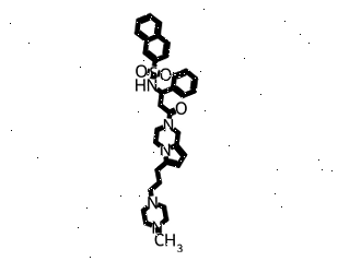 CN1CCN(CCCc2ccc3n2CCN(C(=O)CC(NS(=O)(=O)c2ccc4ccccc4c2)c2ccccc2)C3)CC1